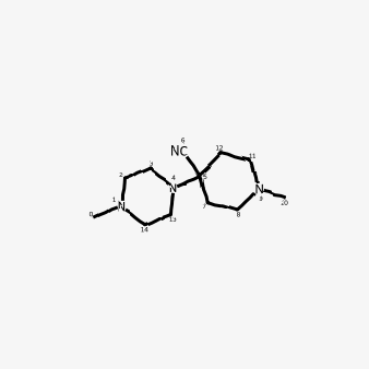 CN1CCN(C2(C#N)CCN(C)CC2)CC1